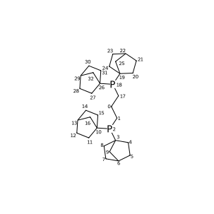 C(CP(C12CCC(CC1)C2)C12CCC(CC1)C2)CP(C12CCC(CC1)C2)C12CCC(CC1)C2